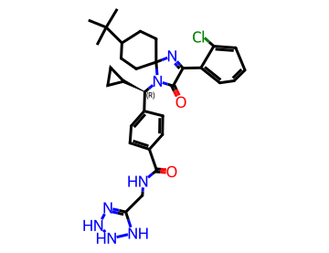 CC(C)(C)C1CCC2(CC1)N=C(c1ccccc1Cl)C(=O)N2[C@@H](c1ccc(C(=O)NCC2=NNNN2)cc1)C1CC1